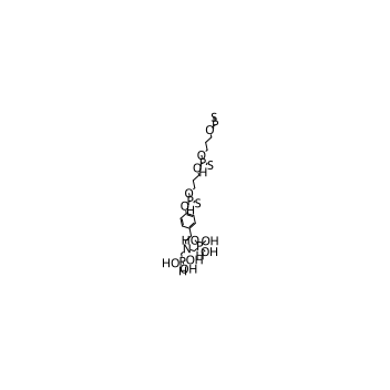 O[PH](O)(O)CN(CCc1ccc(O[PH](=S)OCCCO[PH](=S)OCCCOP=S)cc1)C[PH](O)(O)O